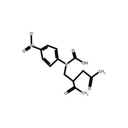 CC(=O)CC(CN(C(=O)O)c1ccc([N+](=O)[O-])cc1)C(C)=O